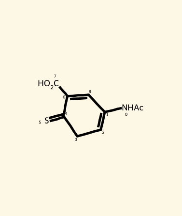 CC(=O)NC1=CCC(=S)C(C(=O)O)=C1